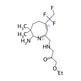 CCOCC(=O)CNCC1=N/C(N)C(C)(C)CC/C(C(F)(F)CF)=C\1